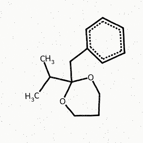 CC(C)C1(Cc2ccccc2)OCCCO1